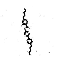 CCCCCc1ccc(-c2cnc(OC(=O)c3ccc(CCCCC)cc3F)cn2)cc1